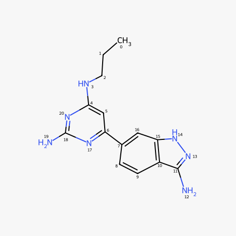 CCCNc1cc(-c2ccc3c(N)n[nH]c3c2)nc(N)n1